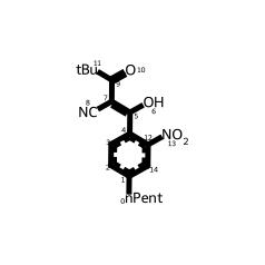 CCCCCc1ccc(/C(O)=C(\C#N)C(=O)C(C)(C)C)c([N+](=O)[O-])c1